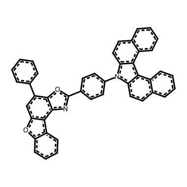 c1ccc(-c2cc3oc4ccccc4c3c3nc(-c4ccc(-n5c6ccc7ccccc7c6c6c7ccccc7ccc65)cc4)oc23)cc1